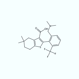 CN(C)Cc1cccc(C(F)(F)F)c1-c1sc2c(c1C(=O)O)CC(C)(C)CC2